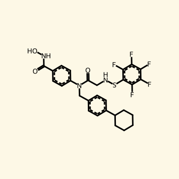 O=C(NO)c1ccc(N(Cc2ccc(C3CCCCC3)cc2)C(=O)CNSc2c(F)c(F)c(F)c(F)c2F)cc1